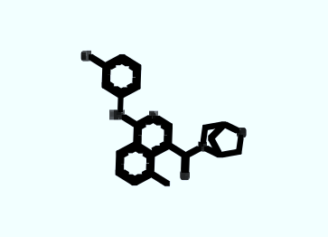 Cc1cccc2c(Nc3cccc(Cl)c3)ncc(C(=O)N3CC4CC3CO4)c12